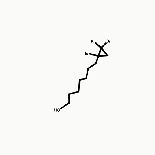 OCCCCCCCC1(Br)CC1(Br)Br